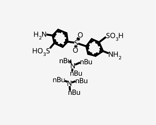 CCCCN(CCCC)CCCC.CCCCN(CCCC)CCCC.Nc1ccc(S(=O)(=O)c2ccc(N)c(S(=O)(=O)O)c2)cc1S(=O)(=O)O